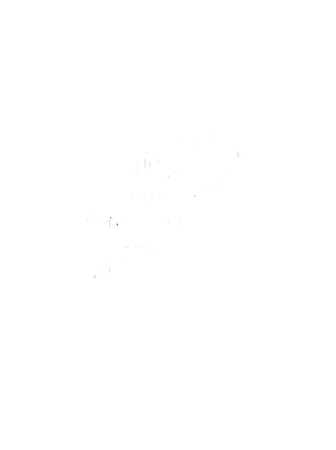 Cn1cc(C2(O)CCCCC2)ccc1=O